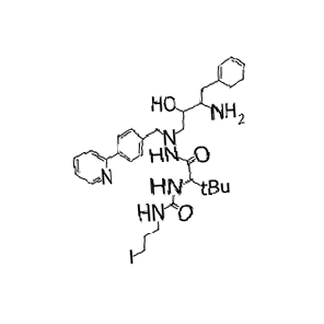 CC(C)(C)C(NC(=O)NCCCI)C(=O)NN(Cc1ccc(-c2ccccn2)cc1)CC(O)C(N)CC1=CC=CCC1